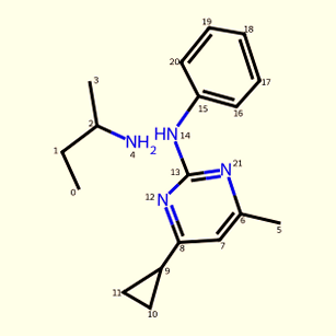 CCC(C)N.Cc1cc(C2CC2)nc(Nc2ccccc2)n1